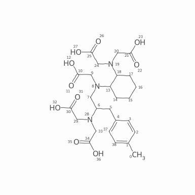 Cc1ccc(CC(CN(CC(=O)O)C2CCCCC2N(CC(=O)O)CC(=O)O)N(CC(=O)O)CC(=O)O)cc1